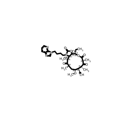 C#C[C@H]1[C@H](OC)C[C@@H](C)C(=O)[C@H](C)[C@H]2N(CCCCn3cnc4cccnc43)C(=O)O[C@]2(C)[C@@H](CC)OC(=O)[C@H](C)C(=O)[C@@H]1C